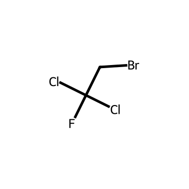 FC(Cl)(Cl)CBr